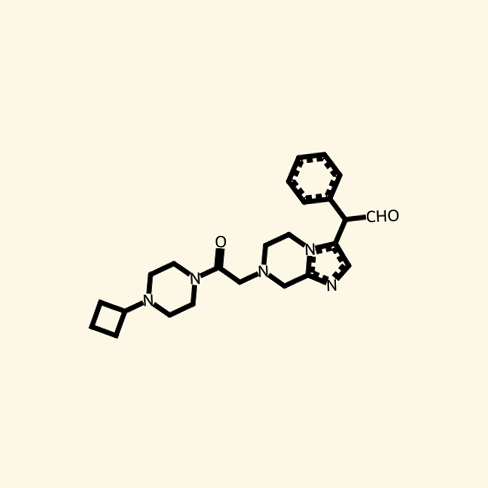 O=CC(c1ccccc1)c1cnc2n1CCN(CC(=O)N1CCN(C3CCC3)CC1)C2